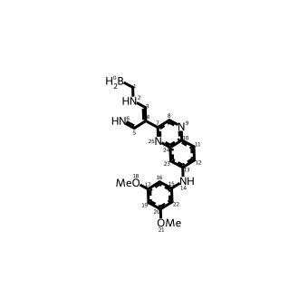 BCN/C=C(\C=N)c1cnc2ccc(Nc3cc(OC)cc(OC)c3)cc2n1